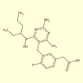 CCCC(CC)N(O)c1nc(N)nc(C)c1Cc1cc(CC(=O)O)ccc1F